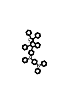 c1ccc(-c2sc3c(-c4ccccc4)c(-c4ccc(N(c5ccccc5)c5ccc(N(c6ccccc6)c6ccccc6)cc5)cc4)c4ccccc4c3c2-c2ccccc2)cc1